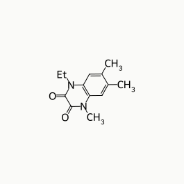 CCn1c(=O)c(=O)n(C)c2cc(C)c(C)cc21